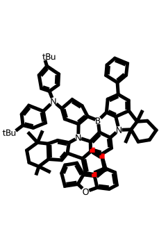 CC(C)(C)c1ccc(N(c2ccc(C(C)(C)C)cc2)c2ccc3c(c2)N(c2cc4c(cc2-c2ccccc2)C(C)(C)CCC4(C)C)c2cc(-c4cccc5oc6ccccc6c45)cc4c2B3c2cc(-c3ccccc3)cc3c2N4C2(C)CCCCC32C)cc1